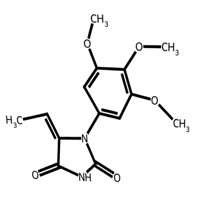 CC=C1C(=O)NC(=O)N1c1cc(OC)c(OC)c(OC)c1